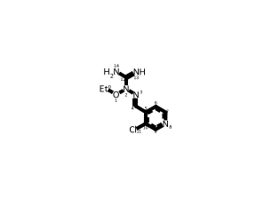 CCON(/N=C/c1ccncc1Cl)C(=N)N